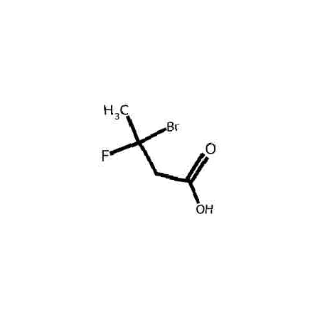 CC(F)(Br)CC(=O)O